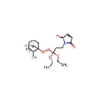 CCOC(CCN1C(=O)C=CC1=O)(OCC)OOC12CC(CCC1C)C2(C)C